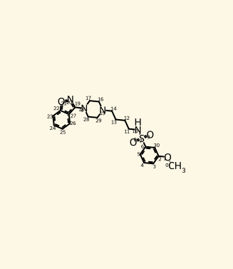 COc1cccc(S(=O)(=O)NCCCCN2CCN(c3noc4ccccc34)CC2)c1